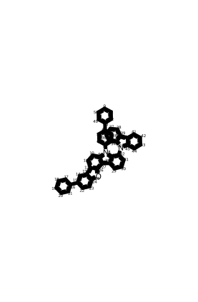 c1ccc(-c2ccc(-n3c4ccc5c6cc(-c7ccccc7)ccc6oc5c4c4cccc(-n5c6ccccc6c6ccccc65)c43)cc2)cc1